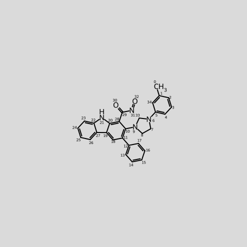 Cc1cccc(N2CCN(c3c(-c4ccccc4)cc4c([nH]c5ccccc54)c3C(=O)N=O)C2)c1